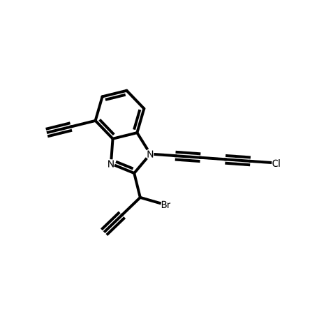 C#Cc1cccc2c1nc(C(Br)C#C)n2C#CC#CCl